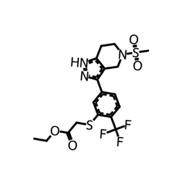 CCOC(=O)CSc1cc(-c2n[nH]c3c2CN(S(C)(=O)=O)CC3)ccc1C(F)(F)F